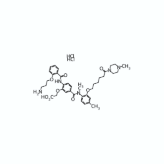 Cc1ccc(N(C)C(=O)c2ccc(NC(=O)c3ccccc3OCCCN)c(OCC(=O)O)c2)c(OCCCCCC(=O)N2CCN(C)CC2)c1.Cl.Cl